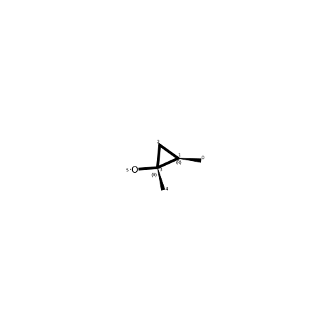 C[C@@H]1C[C@@]1(C)[O]